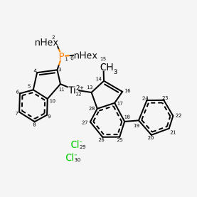 CCCCCCP(CCCCCC)C1=Cc2ccccc2[CH]1[Ti+2][CH]1C(C)=Cc2c(-c3ccccc3)cccc21.[Cl-].[Cl-]